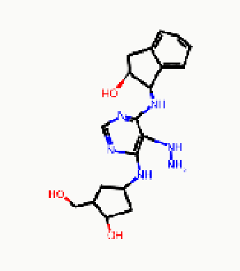 NNc1c(NC2CC(O)C(CO)C2)ncnc1N[C@@H]1c2ccccc2C[C@@H]1O